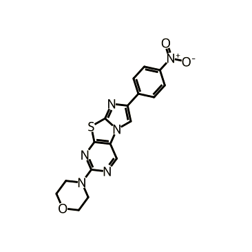 O=[N+]([O-])c1ccc(-c2cn3c(n2)sc2nc(N4CCOCC4)ncc23)cc1